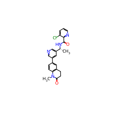 C[C@@H](NC(=O)c1ncccc1Cl)c1cncc(-c2ccc3c(c2)CCC(=O)N3C)c1